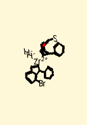 Brc1cccc2c1C(c1ccccc1)[C]([Zr+2][C]1=Cc3c4cccc3C1c1cccc(c1)S4)=C2.[H-].[H-]